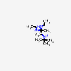 CCNC(C)(NCC)[SiH2]NC(C)(C)C